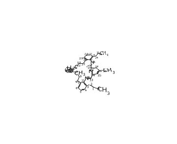 CCCc1cccc(CCC)c1N=Cc1cc(C)cc(C=Nc2c(CCC)cccc2CCC)n1.[Cl-].[Cl-].[Co+2]